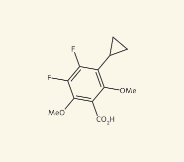 COc1c(F)c(F)c(C2CC2)c(OC)c1C(=O)O